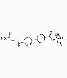 CC(C)(C)OC(=O)N1CCN(c2ccc(NCCC(=O)O)nc2)CC1